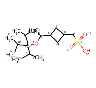 CC(O[Si](C(C)C)(C(C)C)C(C)C)C1CC(CS(=O)(=O)O)C1